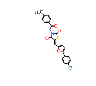 Cc1ccc(C(=O)CN2C(=O)S/C(=C\c3ccc(-c4ccc(Cl)cc4)o3)C2=O)cc1